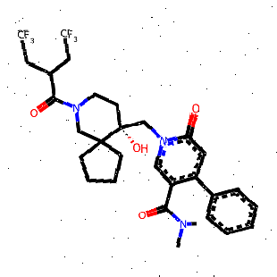 CN(C)C(=O)c1cn(C[C@]2(O)CCN(C(=O)C(CC(F)(F)F)CC(F)(F)F)CC23CCCC3)c(=O)cc1-c1ccccc1